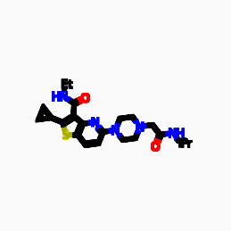 CCNC(=O)c1c(C2CC2)sc2ccc(N3CCN(CC(=O)NC(C)C)CC3)nc12